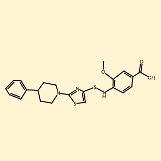 COc1cc(C(=O)O)ccc1NSc1csc(N2CCC(c3ccccc3)CC2)n1